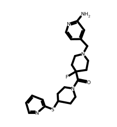 Nc1cc(CN2CCC(F)(C(=O)N3CCC(Sc4ccccn4)CC3)CC2)ccn1